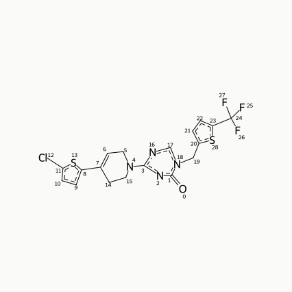 O=c1nc(N2CC=C(c3ccc(Cl)s3)CC2)ncn1Cc1ccc(C(F)(F)F)s1